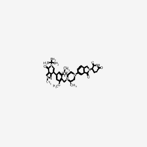 BC(B)(B)n1cc(-c2cc(OC)c(CN3[C@H](C)CN(c4ccc5c(c4)C(=O)N(C4CCC(=O)NC4=O)C5)C[C@H]3C)c(OC)c2)c2nn(C)cc2c1=O